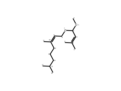 COC(C=C(C)C)OCC=C(C)CCCC(C)C